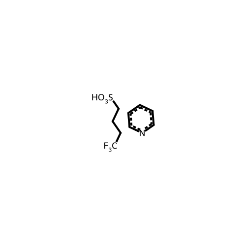 O=S(=O)(O)CCCC(F)(F)F.c1ccncc1